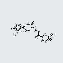 C[C@@H]1CN(CCCC(=O)N2CCC3(CC3)[C@H](O)C2)C(=O)CCN1c1ccc(Cl)c(C(F)(F)F)c1